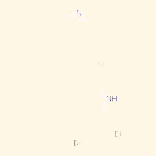 CCc1[nH]c(=O)c2c(-c3ccncc3)cccc2c1Br